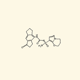 NS(=O)(=NC(=O)Nc1c2c(cc3c1CCC3=O)CCC2)c1cnn2c1OCCC2